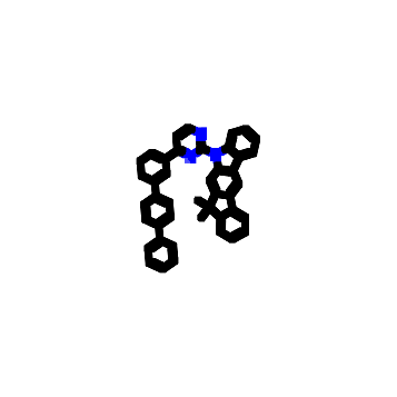 CC1(C)c2ccccc2-c2cc3c4ccccc4n(-c4nccc(C5=CCCC(c6ccc(-c7ccccc7)cc6)=C5)n4)c3cc21